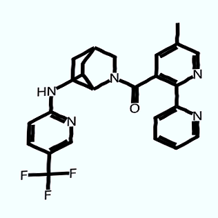 Cc1cnc(-c2ccccn2)c(C(=O)N2CC3CCC2C(Nc2ccc(C(F)(F)F)cn2)C3)c1